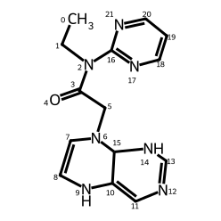 CCN(C(=O)CN1C=CNC2=CN=CNC21)c1ncccn1